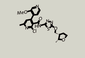 COc1cnccc1-c1cc(C)nc(Cl)c1C(=O)Nc1nnc(OC[C@@H]2CCO[C@@H]2C)s1